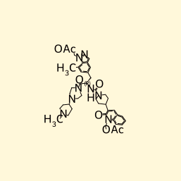 CC(=O)OCn1ncc2cc(C[C@@H](NC(=O)N3CCC(c4cc5ccccc5n(COC(C)=O)c4=O)CC3)C(=O)N3CCN(C4CCN(C)CC4)CC3)cc(C)c21